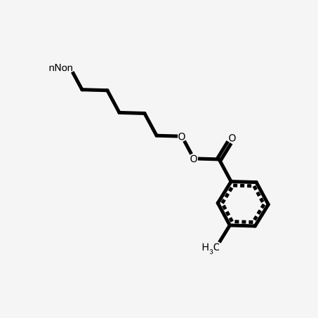 [CH2]CCCCCCCCCCCCCOOC(=O)c1cccc(C)c1